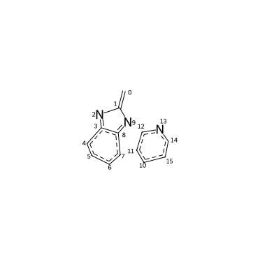 C=C1N=c2ccccc2=N1.c1ccncc1